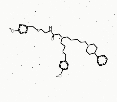 COc1ccc(CSCCNC(=O)CN(CCCCCN2CCC(c3ccccc3)CC2)CCSCc2ccc(OC)cc2)cc1